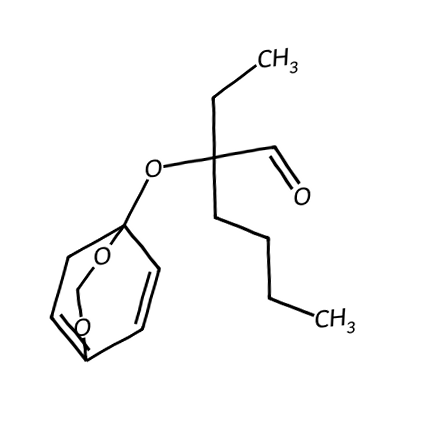 CCCCC(C=O)(CC)OC12C=CC(=CC1)OCO2